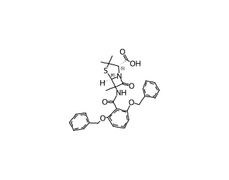 CC1(C)S[C@H]2N(C(=O)C2(C)NC(=O)c2c(OCc3ccccc3)cccc2OCc2ccccc2)[C@H]1C(=O)O